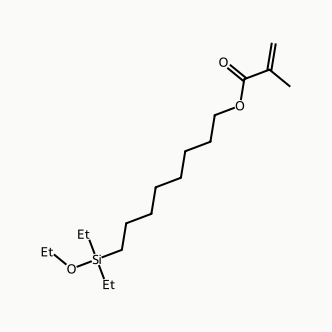 C=C(C)C(=O)OCCCCCCCC[Si](CC)(CC)OCC